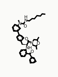 CCCCCCCNC(=O)N(C)c1cccc(-c2ccc(C[C@H](Nc3ccccc3C(=O)c3ccccc3)C(=O)N3CC(C)OC(C)C3)cc2)c1